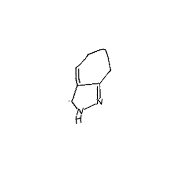 [CH]1NN=C2CCCC=C12